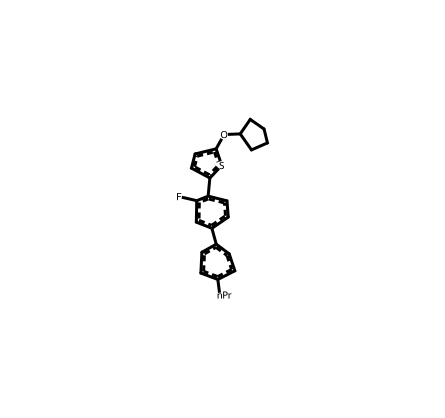 CCCc1ccc(-c2ccc(-c3ccc(OC4CCCC4)s3)c(F)c2)cc1